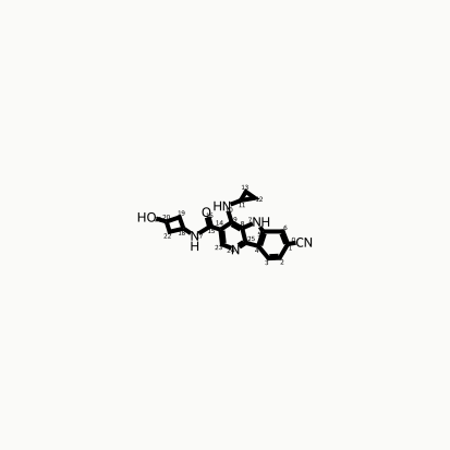 N#Cc1ccc2c(c1)[nH]c1c(NC3CC3)c(C(=O)NC3CC(O)C3)cnc12